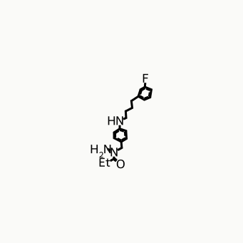 CCC(=O)N(N)Cc1ccc(NCCCCc2cccc(F)c2)cc1